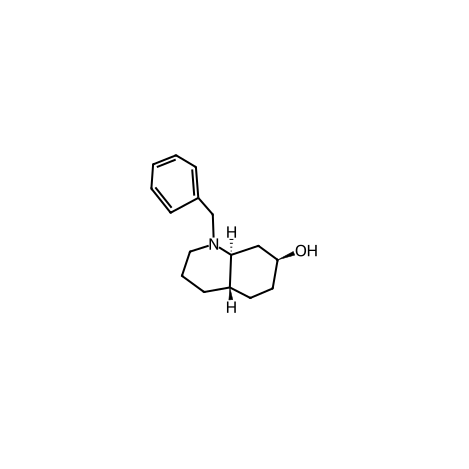 O[C@H]1CC[C@@H]2CCCN(Cc3ccccc3)[C@H]2C1